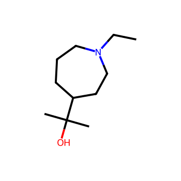 CCN1CCCC(C(C)(C)O)CC1